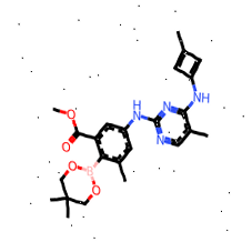 COC(=O)c1cc(Nc2ncc(C)c(NC3=CC(C)=C3)n2)cc(C)c1B1OCC(C)(C)CO1